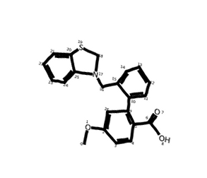 COc1ccc(C(=O)O)c(-c2ccccc2CN2CSc3ccccc32)c1